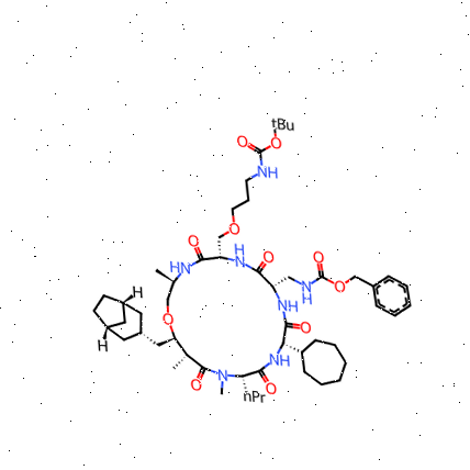 CCC[C@H]1C(=O)N[C@@H](C2CCCCCC2)C(=O)N[C@@H](CNC(=O)OCc2ccccc2)C(=O)N[C@@H](COCCCNC(=O)OC(C)(C)C)C(=O)N[C@H](C)CO[C@H](C[C@@H]2C[C@@H]3CC[C@@H](C3)C2)[C@@H](C)C(=O)N1C